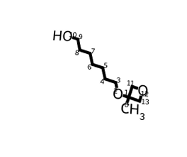 CC1(OCCCCCCCO)COC1